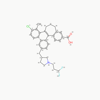 Cc1c(Cl)cccc1C1=C(c2ccc(CC3CCN(CCC(F)F)C3)cc2)c2ccc(C(=O)O)cc2CCC1